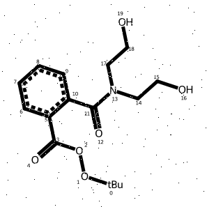 CC(C)(C)OOC(=O)c1ccccc1C(=O)N(CCO)CCO